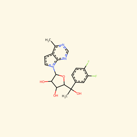 Cc1ncnc2c1ccn2C1OC(C(C)(O)c2ccc(F)c(F)c2)C(O)C1O